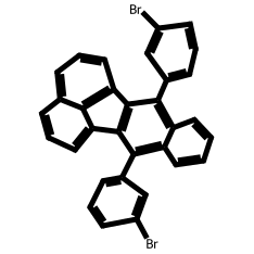 Brc1cccc(-c2c3c(c(-c4cccc(Br)c4)c4ccccc24)-c2cccc4cccc-3c24)c1